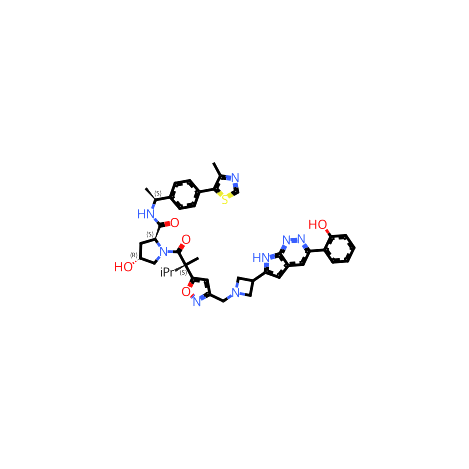 Cc1ncsc1-c1ccc([C@H](C)NC(=O)[C@@H]2C[C@@H](O)CN2C(=O)[C@](C)(c2cc(CN3CC(c4cc5cc(-c6ccccc6O)nnc5[nH]4)C3)no2)C(C)C)cc1